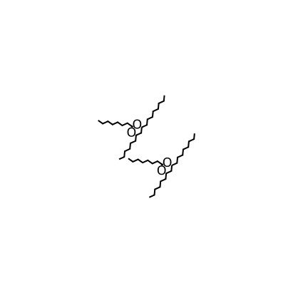 CCCCCCCCC(CCCCCCCC)OC(=O)CCCCCCC.CCCCCCCCC(CCCCCCCC)OC(=O)CCCCCCC